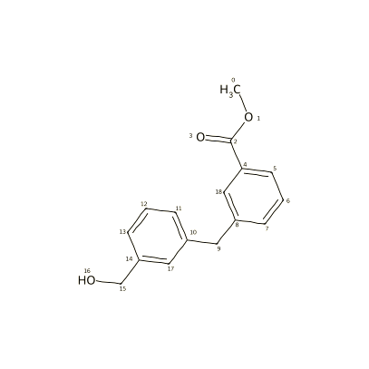 COC(=O)c1cccc(Cc2cccc(CO)c2)c1